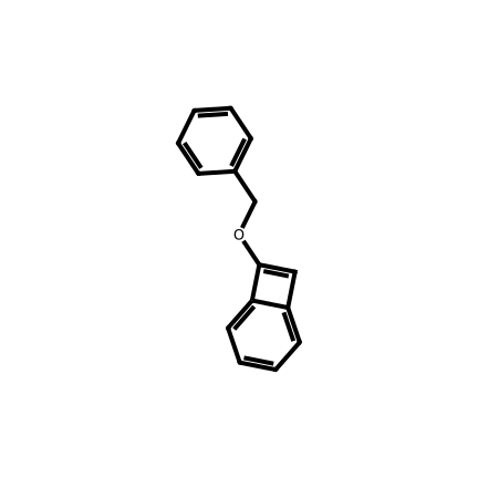 C1=C(OCc2ccccc2)c2ccccc21